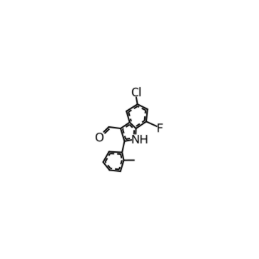 Cc1ccccc1-c1[nH]c2c(F)cc(Cl)cc2c1C=O